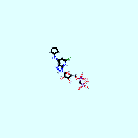 O=P(O)(O)CP(=O)(O)OC[C@H]1O[C@@H](n2nnc3c(NC4CCCC4)cc(Cl)nc32)[C@H](O)[C@@H]1O